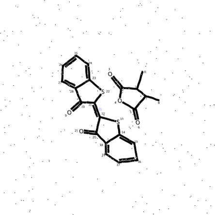 CC1C(=O)OC(=O)C1C.O=C1/C(=C2/Sc3ccccc3C2=O)Sc2ccccc21